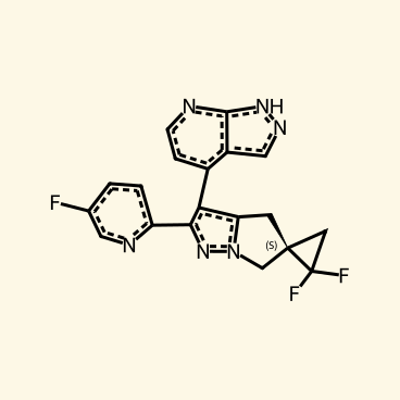 Fc1ccc(-c2nn3c(c2-c2ccnc4[nH]ncc24)C[C@@]2(C3)CC2(F)F)nc1